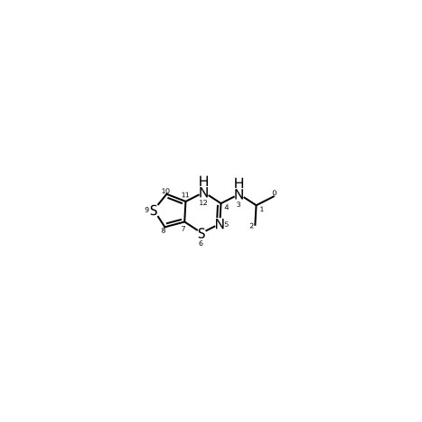 CC(C)NC1=NSc2cscc2N1